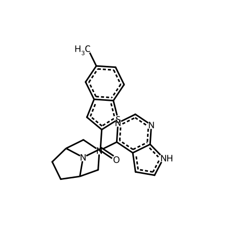 Cc1ccc2sc(C(=O)N3C4CCC3CN(c3ncnc5[nH]ccc35)C4)cc2c1